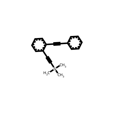 C[Si](C)(C)C#Cc1ccccc1C#Cc1ccccc1